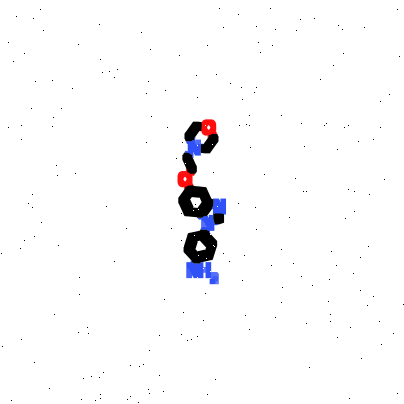 Nc1ccc(-n2cnc3cc(OCCN4CCOCC4)ccc32)cc1